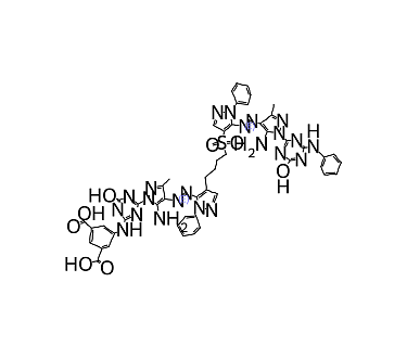 Cc1nn(-c2nc(O)nc(Nc3cc(C(=O)O)cc(C(=O)O)c3)n2)c(N)c1/N=N/c1c(CCCCS(=O)(=O)c2cnn(-c3ccccc3)c2/N=N/c2c(C)nn(-c3nc(O)nc(Nc4ccccc4)n3)c2N)cnn1-c1ccccc1